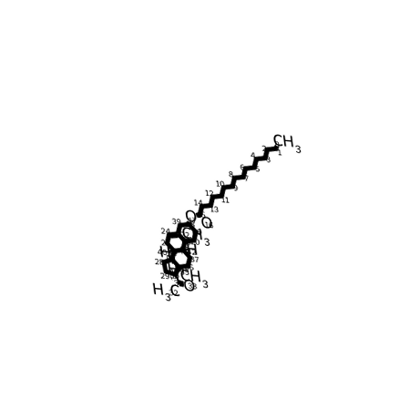 CCCCCCCCCCCCCCCC(=O)OC1CC[C@@]2(C)C(=CC[C@H]3[C@@H]4CC[C@H](C(C)=O)[C@@]4(C)CC[C@@H]32)C1